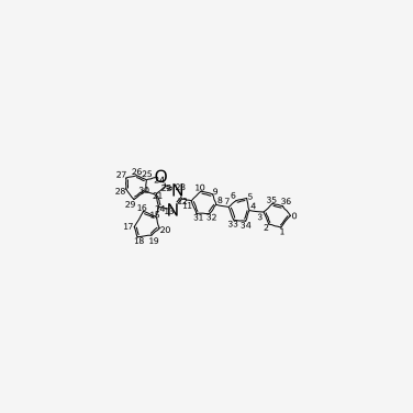 c1ccc(-c2ccc(-c3ccc(-c4nc(-c5ccccc5)c5c(n4)oc4ccccc45)cc3)cc2)cc1